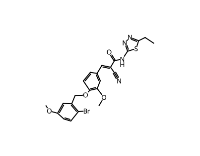 CCc1nnc(NC(=O)/C(C#N)=C/c2ccc(OCc3cc(OC)ccc3Br)c(OC)c2)s1